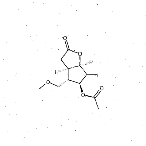 COC[C@@H]1[C@H]2CC(=O)O[C@H]2C(I)[C@H]1OC(C)=O